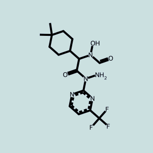 CC1(C)CCC(C(C(=O)N(N)c2nccc(C(F)(F)F)n2)N(O)C=O)CC1